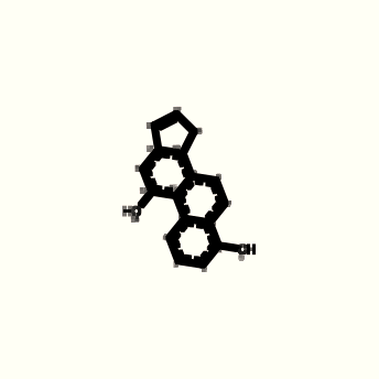 Oc1cccc2c1ccc1c3c(cc(O)c12)C=CC3